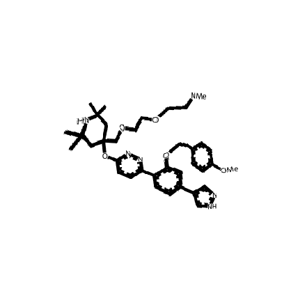 CNCCOCCOCC1(Oc2ccc(-c3ccc(-c4cn[nH]c4)cc3OCc3ccc(OC)cc3)nn2)CC(C)(C)NC(C)(C)C1